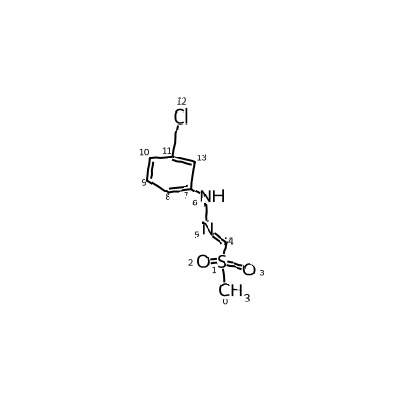 CS(=O)(=O)/[C]=N/Nc1cccc(Cl)c1